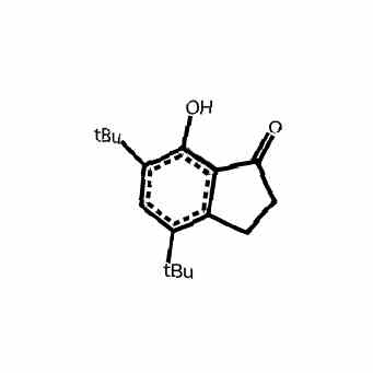 CC(C)(C)c1cc(C(C)(C)C)c2c(c1O)C(=O)CC2